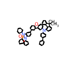 CC1(C)c2ccccc2-c2c(N(c3ccc(-c4ccccc4)cc3)c3ccc4oc5ccc(-c6ccc7c(c6)N(c6ccccc6)P(=O)(c6ccccc6)N7c6ccccc6)cc5c4c3)cccc21